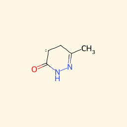 CC1=NNC(=O)[C]C1